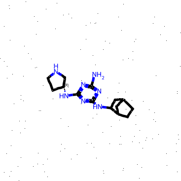 Nc1nc(NC2CC3CCC2C3)nc(N[C@@H]2CCNC2)n1